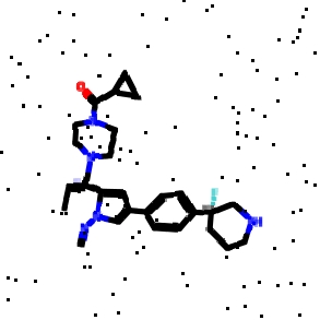 C=Nn1cc(-c2ccc([C@]3(F)CCCNC3)cc2)cc1/C(=C\C)N1CCN(C(=O)C2CC2)CC1